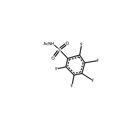 CC(=O)NS(=O)(=O)c1c(F)c(F)c(F)c(F)c1F